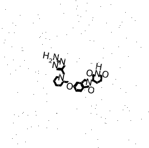 Nc1ncc(CN2CCCCC2COc2ccc3c(c2)CN(C2CCC(=O)NC2=O)C3=O)cn1